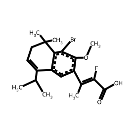 COc1c(C(C)=C(F)C(=O)O)cc2c(c1Br)C(C)(C)CC=C2C(C)C